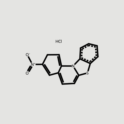 Cl.O=[N+]([O-])C1=CC2=CC=C3Sc4ccccc4N3C2=CC1